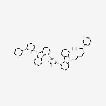 N=C(/C=C\C=C\n1c2ccccc2c2c(-c3nnc(-c4cccc5c4c4ccccc4n5-c4cccc(-c5cccnc5)n4)o3)cccc21)c1cccnc1